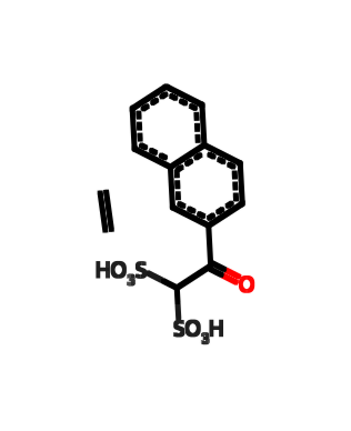 C=C.O=C(c1ccc2ccccc2c1)C(S(=O)(=O)O)S(=O)(=O)O